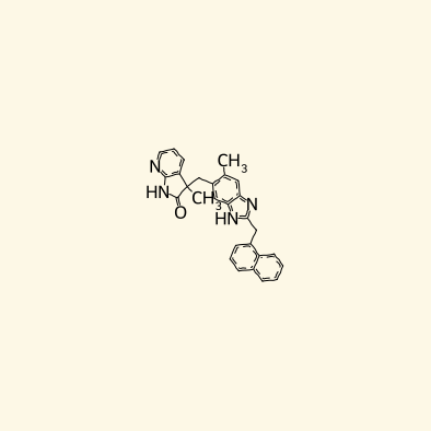 Cc1cc2nc(Cc3cccc4ccccc34)[nH]c2cc1CC1(C)C(=O)Nc2ncccc21